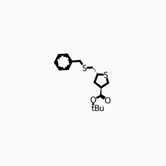 CC(C)(C)OC(=O)[C@@H]1CS[C@@H](CSCc2ccccc2)C1